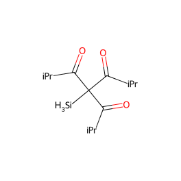 CC(C)C(=O)C([SiH3])(C(=O)C(C)C)C(=O)C(C)C